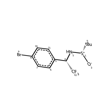 CC(C)(C)[S@+]([O-])N[C@@H](c1ccc(Br)cc1)C(F)(F)F